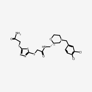 NC(=O)CSc1nnc(SCC(=O)NC[C@H]2CN(Cc3ccc(Cl)c(Cl)c3)CCO2)s1